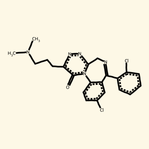 CN(C)CCCc1nnc2n(c1=O)-c1ccc(Cl)cc1C(c1ccccc1Cl)=NC2